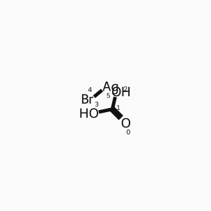 O=C(O)O.[Br][Ag]